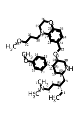 CC[C@H](CCN(C)C)C[C@H]1C[C@H](c2ccc(OC)cc2)[C@@H](OCc2ccc3c(c2)N(CCCOC)CCO3)CN1